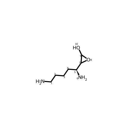 NCCCC[C@H](N)C1OC1O